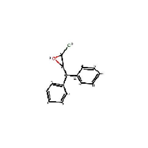 ClC1OC1C(c1ccccc1)c1ccccc1